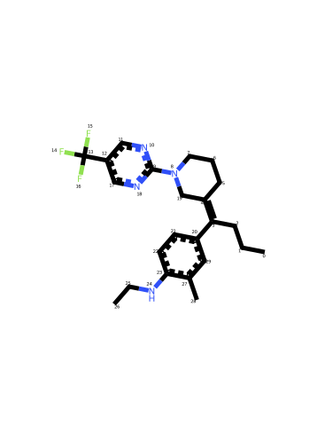 CCC/C(=C1\CCCN(c2ncc(C(F)(F)F)cn2)C1)c1ccc(NCC)c(C)c1